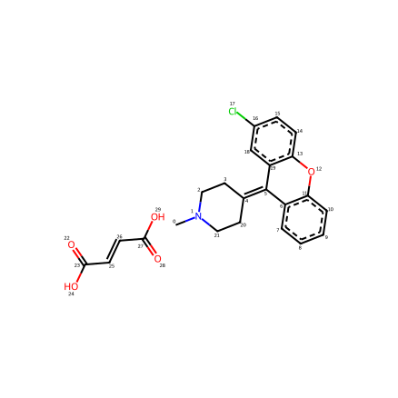 CN1CCC(=C2c3ccccc3Oc3ccc(Cl)cc32)CC1.O=C(O)C=CC(=O)O